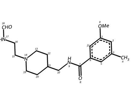 COc1cc(C)cc(C(=O)NCC2CCN(CCNC=O)CC2)c1